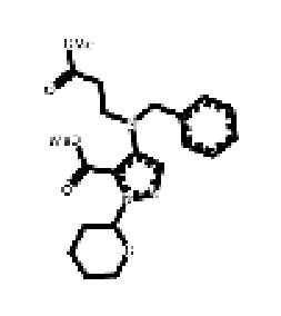 COC(=O)CCN(Cc1ccccc1)c1cnn(C2CCCCO2)c1C(=O)OC